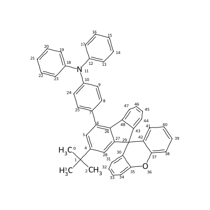 CC(C)(C)c1cc(-c2ccc(N(c3ccccc3)c3ccccc3)cc2)c2c(c1)C1(c3ccccc3Oc3ccccc31)c1ccccc1-2